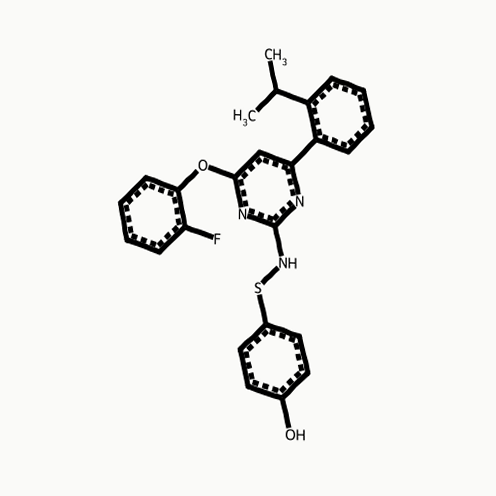 CC(C)c1ccccc1-c1cc(Oc2ccccc2F)nc(NSc2ccc(O)cc2)n1